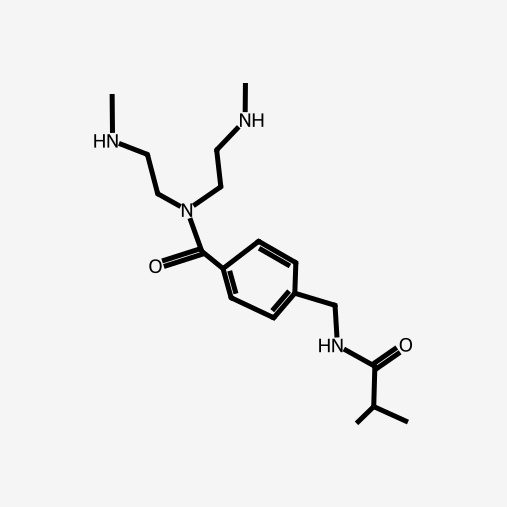 CNCCN(CCNC)C(=O)c1ccc(CNC(=O)C(C)C)cc1